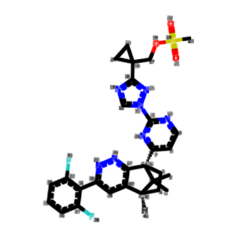 CC1(C)[C@H]2CC[C@]1(c1ccnc(-n3cnc(C4(COS(C)(=O)=O)CC4)n3)n1)c1nnc(-c3c(F)cccc3F)cc12